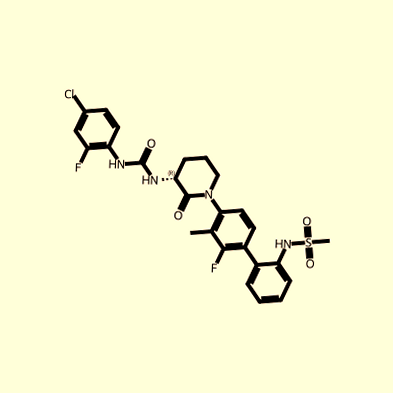 Cc1c(N2CCC[C@@H](NC(=O)Nc3ccc(Cl)cc3F)C2=O)ccc(-c2ccccc2NS(C)(=O)=O)c1F